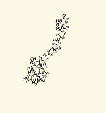 COc1cc(N2CCC(N3CCN(C(=O)[C@@H]4CCN(c5ccc6c(c5)C(=O)N(C5CCC(=O)NC5=O)C6=O)C4)CC3)CC2)c(C)cc1Nc1nc(Nc2cccc3c2N(S(C)(=O)=O)CC3)c2cc[nH]c2n1